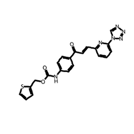 O=C(Nc1ccc(C(=O)C=Cc2cccc(-n3cnnn3)n2)cc1)OCc1cccs1